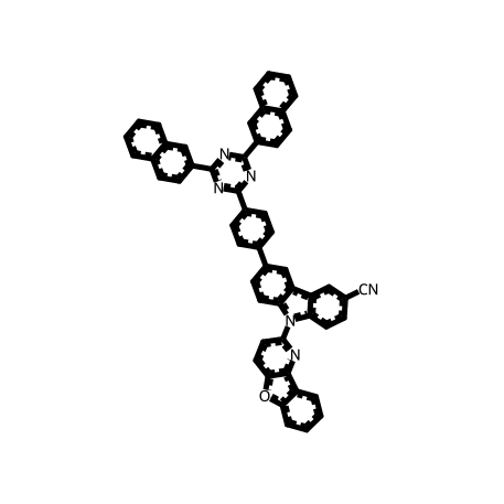 N#Cc1ccc2c(c1)c1cc(-c3ccc(-c4nc(-c5ccc6ccccc6c5)nc(-c5ccc6ccccc6c5)n4)cc3)ccc1n2-c1ccc2oc3ccccc3c2n1